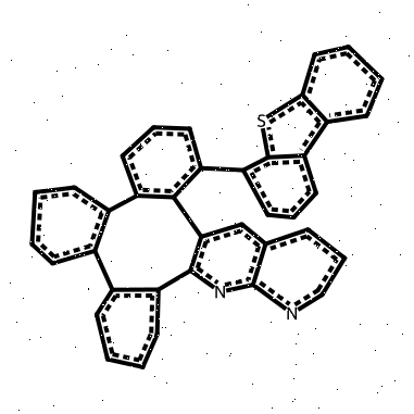 c1ccc2c(c1)-c1ccccc1-c1nc3ncccc3cc1-c1c-2cccc1-c1cccc2c1sc1ccccc12